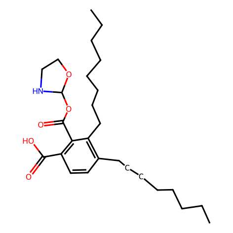 CCCCCCCCc1ccc(C(=O)O)c(C(=O)OC2NCCO2)c1CCCCCCCC